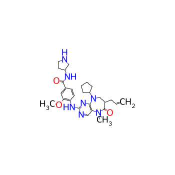 C=CCC1CN(C2CCCC2)c2nc(Nc3ccc(C(=O)NC4CCNC4)cc3OC)ncc2N(C)C1=O